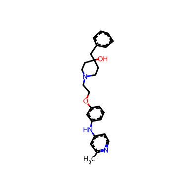 Cc1cc(Nc2cccc(OCCN3CCC(O)(Cc4ccccc4)CC3)c2)ccn1